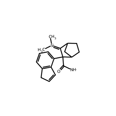 C[Si](C)=C1C2CCC(C2)C1(C([NH])=O)c1cccc2c1C=CC2